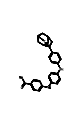 O=C(O)c1ccc(Nc2ccc(Nc3ccc(C45CC6CC(CC4C6)C5)cc3)cc2)cc1